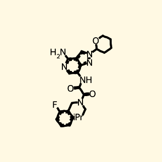 CC(C)CN(Cc1ccccc1F)C(=O)C(=O)Nc1cnc(N)c2cn(C3CCCCO3)nc12